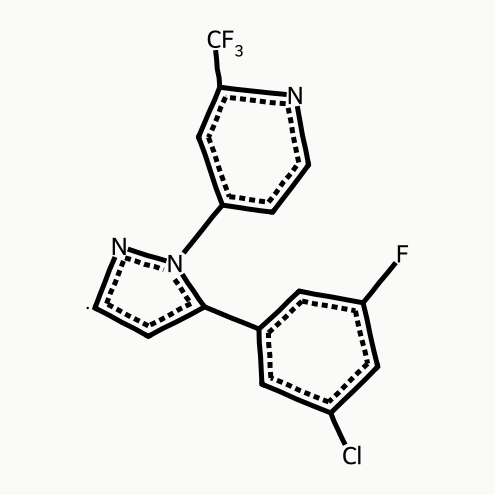 Fc1cc(Cl)cc(-c2c[c]nn2-c2ccnc(C(F)(F)F)c2)c1